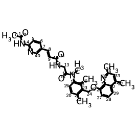 CC(=O)Nc1ccc(/C=C/C(=O)NCC(=O)N(C)c2ccc(C)c(COc3cccc4c(C)cc(C)nc34)c2C)cn1